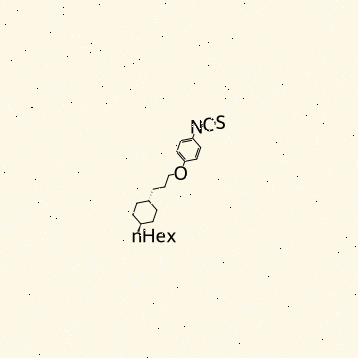 CCCCCC[C@H]1CC[C@H](CCCOc2ccc(N=C=S)cc2)CC1